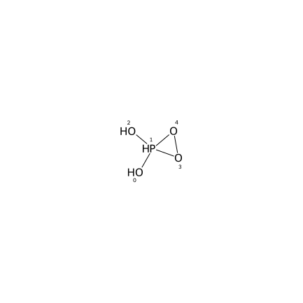 O[PH]1(O)OO1